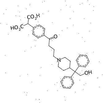 O=C(CCCN1CCC(C(CO)(c2ccccc2)c2ccccc2)CC1)c1ccc(C(C(=O)O)C(=O)O)cc1